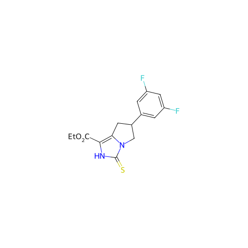 CCOC(=O)c1[nH]c(=S)n2c1CC(c1cc(F)cc(F)c1)C2